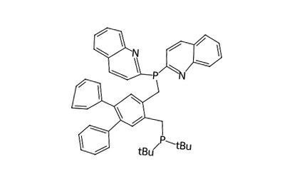 CC(C)(C)P(Cc1cc(-c2ccccc2)c(-c2ccccc2)cc1CP(c1ccc2ccccc2n1)c1ccc2ccccc2n1)C(C)(C)C